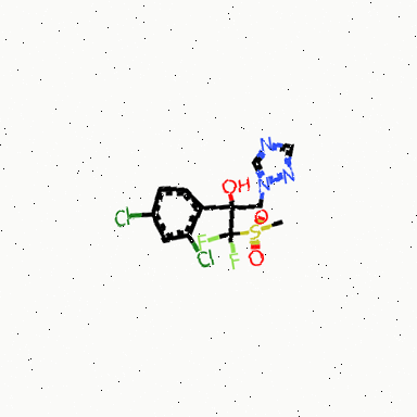 CS(=O)(=O)C(F)(F)C(O)(Cn1cncn1)c1ccc(Cl)cc1Cl